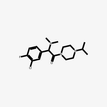 CC(C)N1CCN(C(=O)C(c2ccc(F)c(Cl)c2)N(C)C)CC1